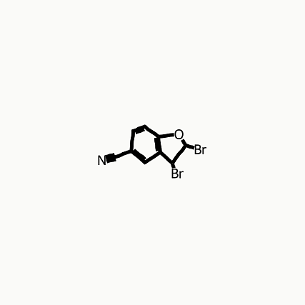 N#Cc1ccc2c(c1)C(Br)C(Br)O2